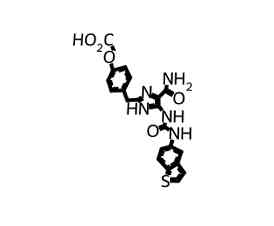 NC(=O)c1nc(Cc2ccc(OCC(=O)O)cc2)[nH]c1NC(=O)Nc1ccc2sccc2c1